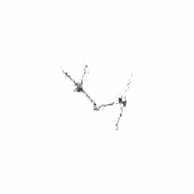 CCCCCCCCCCN(CCCCCCCCCC)C(=O)CCCCCCCN(C)CCCCCCCC(=O)N(CCCCCCCC)CCCCCCCC